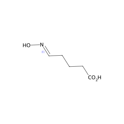 O=C(O)CCC/C=N/O